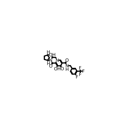 O=C(NCc1ccc(F)c(C(F)(F)F)c1)c1cn2c(c(O)c1=O)C(=O)N1[C@@H]3CC[C@@H](C3)O[C@H]1C2